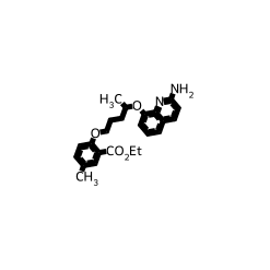 CCOC(=O)c1cc(C)ccc1OCCCC(C)Oc1cccc2ccc(N)nc12